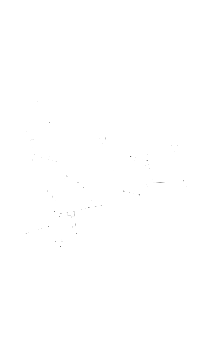 COc1cc(Oc2nc(-c3ccc(C)nc3)nn3c(C)nc(C)c23)cc(OC)c1OC